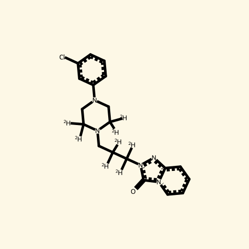 [2H]C1([2H])CN(c2cccc(Cl)c2)CC([2H])([2H])N1CC([2H])([2H])C([2H])([2H])n1nc2ccccn2c1=O